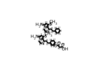 CSc1cc(N)n2ccnc(CCc3ccccc3)c12.CSc1cc(N)n2ccnc(CCc3ccccc3)c12.O=C(O)CC(=O)O